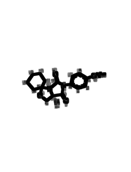 COc1ccc(N2C(=O)[C@H]3COC4(CCCCC4)N3C2=O)cc1